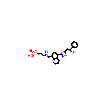 CCC/C(=C\c1nnc(-c2ccc(CNCCCO[PH](=O)O)c3ncccc23)o1)c1ccccc1